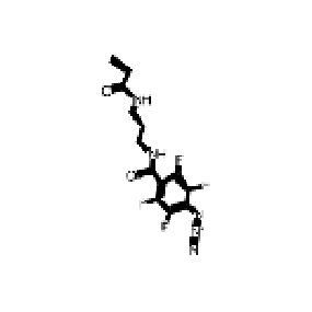 C=CC(=O)NCCCNC(=O)c1c(F)c(F)c(N=[N+]=[N-])c(F)c1F